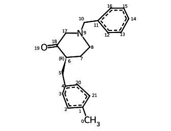 Cc1ccc(C[C@@H]2CCN(Cc3ccccc3)CC2=O)cc1